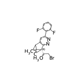 CC1(C)C2CC[C@]1(C(=O)CBr)c1nnc(-c3c(F)cccc3F)cc12